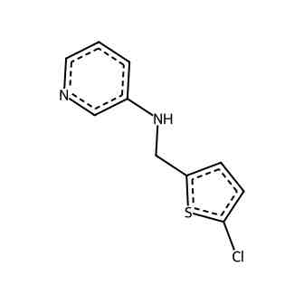 Clc1ccc(CNc2cccnc2)s1